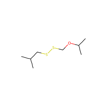 CC(C)CSSCOC(C)C